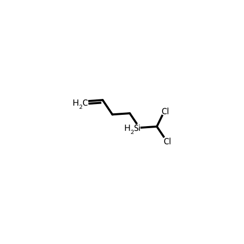 C=CCC[SiH2]C(Cl)Cl